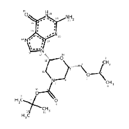 CC(C)OC[C@@H]1CN(C(=O)OC(C)(C)C)C[C@H](n2cnc3c(=O)[nH]c(N)nc32)O1